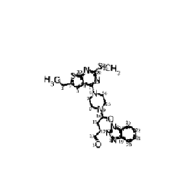 CCc1cc2c(N3CCN(C(CCC=O)On4nnc5ccccc54)CC3)nc(SC)nc2s1